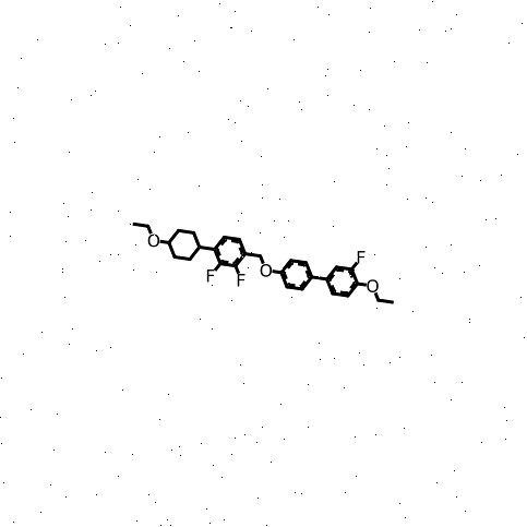 CCOc1ccc(-c2ccc(OCc3ccc(C4CCC(OCC)CC4)c(F)c3F)cc2)cc1F